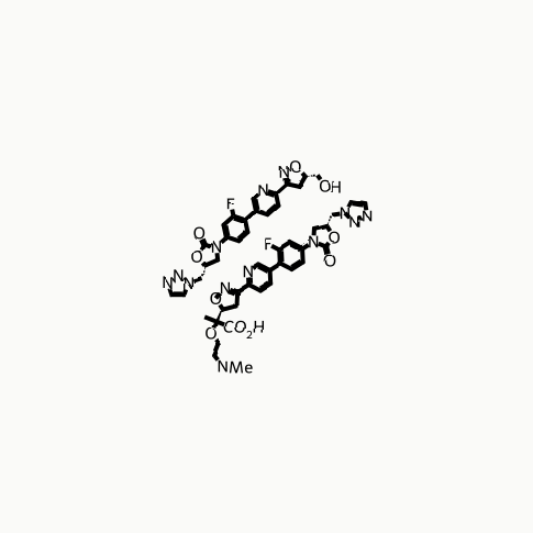 CNCCOC(C)(C(=O)O)[C@@H]1CC(c2ccc(-c3ccc(N4C[C@H](Cn5ccnn5)OC4=O)cc3F)cn2)=NO1.O=C1O[C@@H](Cn2ccnn2)CN1c1ccc(-c2ccc(C3=NO[C@H](CO)C3)nc2)c(F)c1